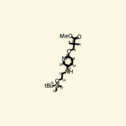 COC(=O)C(C)(C)COc1ccc(NCCO[Si](C)(C)C(C)(C)C)cn1